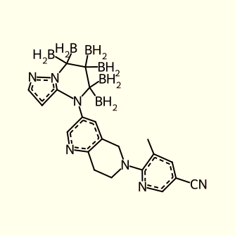 BC1(B)N(c2cnc3c(c2)CN(c2ncc(C#N)cc2C)CC3)c2ccnn2C(B)(B)C1(B)B